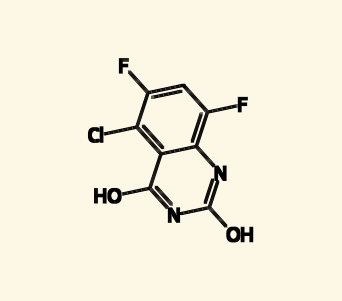 Oc1nc(O)c2c(Cl)c(F)cc(F)c2n1